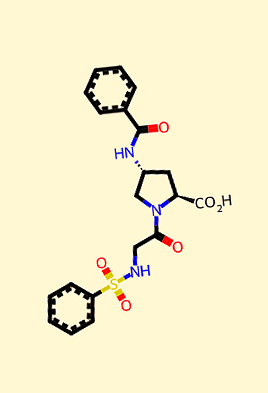 O=C(N[C@@H]1C[C@@H](C(=O)O)N(C(=O)CNS(=O)(=O)c2ccccc2)C1)c1ccccc1